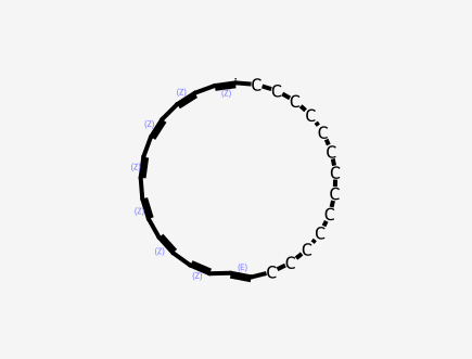 [C]1=C/C=C\C=C/C=C\C=C/C=C\C=C/C=C/CCCCCCCCCCCCC\1